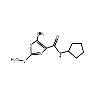 CSc1nc(C(=O)NC2CCCC2)c(N)s1